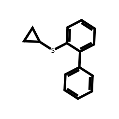 c1ccc(-c2ccccc2SC2CC2)cc1